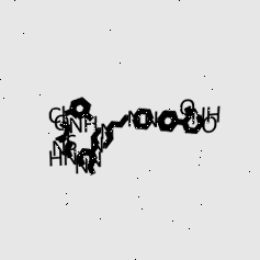 Cc1nc(Nc2ncc(C(=O)Nc3c(C)cccc3Cl)s2)cc(N2CCN(CCCN3CCN(c4ccc(C5CCC(=O)NC5=O)cc4)CC3)CC2)n1